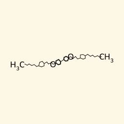 CCCCCCCC1CCC(CCCOc2ccc(-c3ccc(OCCCC4CCC(CCCCCCC)CC4)cc3)cc2)CC1